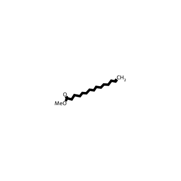 C=CCCCCCCCCCCCCC(=O)OC